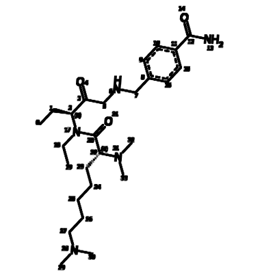 CC[C@@H](C(=O)CNCc1ccc(C(N)=O)cc1)N(CC)C(=O)[C@@H](CCCCCN(C)C)N(C)C